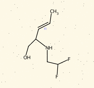 C/C=C/C(CO)NCC(F)F